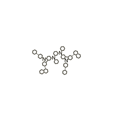 c1ccc(-c2ccc(-n3c4ccc(-c5cccc6ccccc56)cc4c4cc(N(c5ccccc5)c5cccc(N(c6ccccc6)c6ccc7c(c6)c6cc(-c8cccc9ccccc89)ccc6n7-c6ccc(-c7ccccc7)cc6)c5)ccc43)cc2)cc1